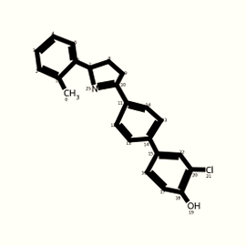 Cc1ccccc1C1CCC(c2ccc(-c3ccc(O)c(Cl)c3)cc2)=N1